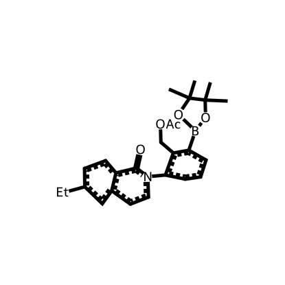 CCc1ccc2c(=O)n(-c3cccc(B4OC(C)(C)C(C)(C)O4)c3COC(C)=O)ccc2c1